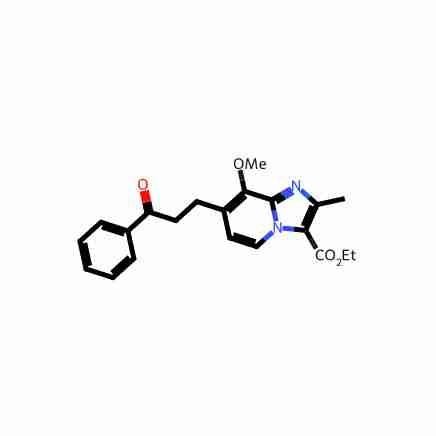 CCOC(=O)c1c(C)nc2c(OC)c(CCC(=O)c3ccccc3)ccn12